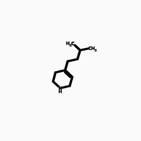 CC(C)CCC1=CCNCC1